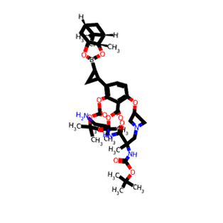 CC(C)(C)OC(=O)NC(C)(CN1CC(Oc2ccc(C3CC3B3OC4C[C@@H]5C[C@@H](C5(C)C)[C@]4(C)O3)c(OC(=O)OC(C)(C)C)c2C(=O)OC(C)(C)C)C1)C(=O)NCCN